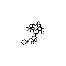 COc1c(C)c2c(c(NC(=O)C(Cl)(Cl)Cl)c1C/C=C(\C)CC(CCN1CCCCC1)C(=O)O)C(=O)OC2